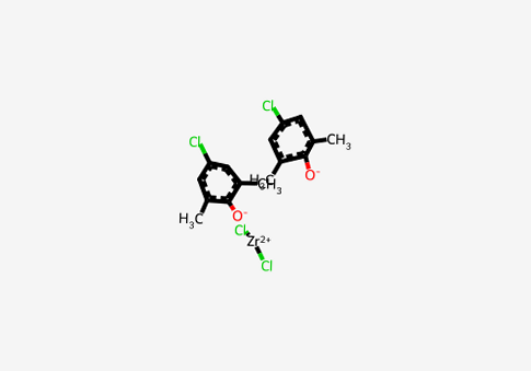 Cc1cc(Cl)cc(C)c1[O-].Cc1cc(Cl)cc(C)c1[O-].[Cl][Zr+2][Cl]